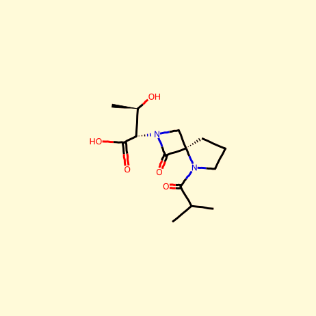 CC(C)C(=O)N1CCC[C@]12CN([C@H](C(=O)O)[C@@H](C)O)C2=O